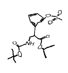 CC(C)OC(=O)C(CNC(=O)OC(C)(C)C)c1cccc(OS(C)(=O)=O)c1